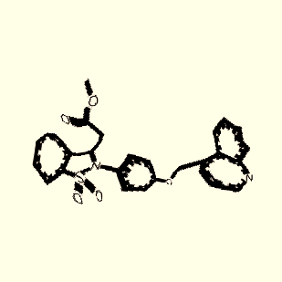 COC(=O)CC1c2ccccc2S(=O)(=O)N1c1ccc(OCc2ccnc3ccccc23)cc1